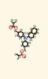 C=C(C)C(=O)OCc1ccc(N(c2ccc(COC(=O)C(C)C)cc2)c2ccc3ccccc3c2)cc1